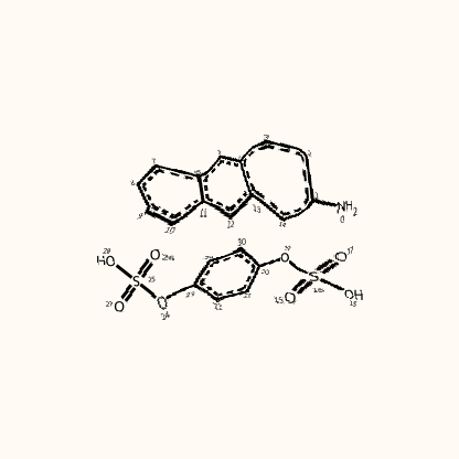 Nc1ccc2cc3ccccc3cc2c1.O=S(=O)(O)Oc1ccc(OS(=O)(=O)O)cc1